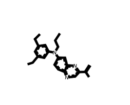 C=C(C)c1cnc2ccc(N(CCC)c3cc(CC)cc(CC)c3)cc2n1